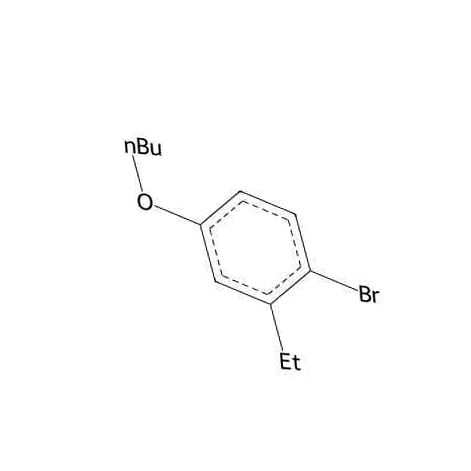 CCCCOc1ccc(Br)c(CC)c1